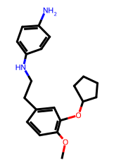 COc1ccc(CCNc2ccc(N)cc2)cc1OC1CCCC1